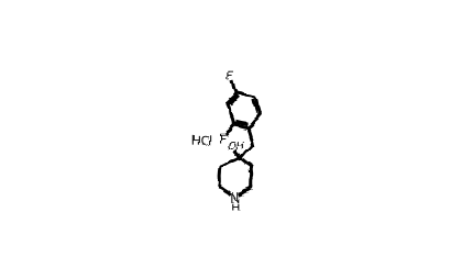 Cl.OC1(Cc2ccc(F)cc2F)CCNCC1